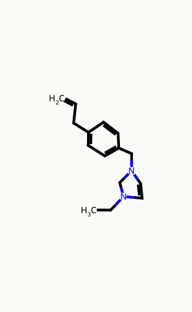 C=CCc1ccc(CN2C=CN(CC)C2)cc1